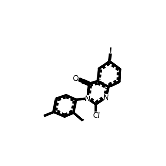 Cc1ccc(-n2c(Cl)nc3ccc(I)cc3c2=O)c(C)c1